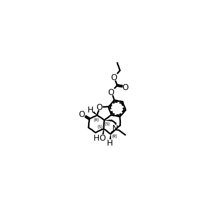 CCOC(=O)Oc1ccc2c3c1O[C@H]1C(=O)CC[C@@]4(O)[C@@H](C2)N(C)CC[C@]314